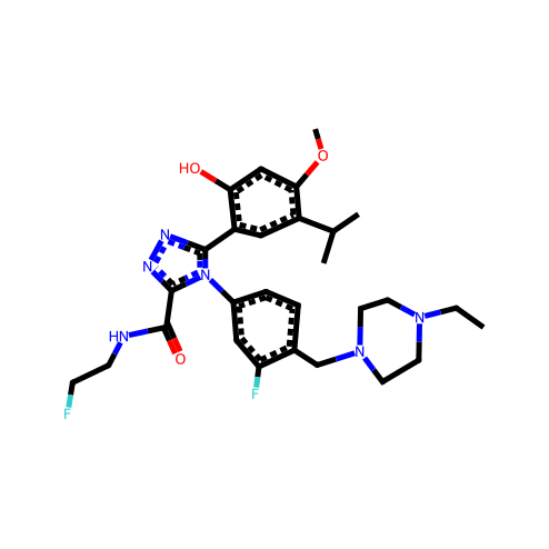 CCN1CCN(Cc2ccc(-n3c(C(=O)NCCF)nnc3-c3cc(C(C)C)c(OC)cc3O)cc2F)CC1